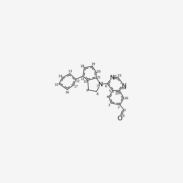 O=Cc1ccc2c(N3CCc4c(-c5ccccc5)cccc43)ncnc2c1